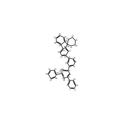 c1ccc(-c2cc(-c3cccc(-c4ccc5c(c4)C4(CCCCC4)c4ccccc4-5)c3)nc(-c3ccccc3)n2)cc1